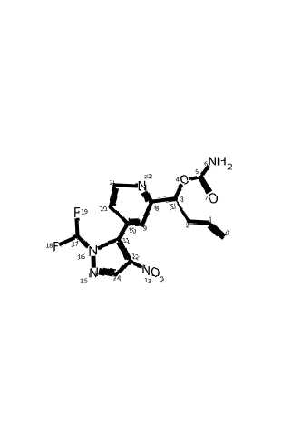 C=CC[C@H](OC(N)=O)c1cc(-c2c([N+](=O)[O-])cnn2C(F)F)ccn1